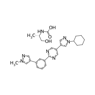 C[C@@H](CO)NC(=O)O.Cn1cc(-c2cccc(-c3ncc(-c4cnn(C5CCCCC5)c4)cn3)c2)cn1